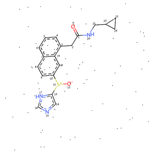 O=C(Cc1cccc2ccc([S+]([O-])c3cnc[nH]3)cc12)NCC1CC1